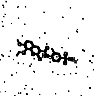 CCOc1c(OC)ccc2cc(C(=O)Nc3ccc(S(N)(=O)=O)cc3C)c(=O)oc12